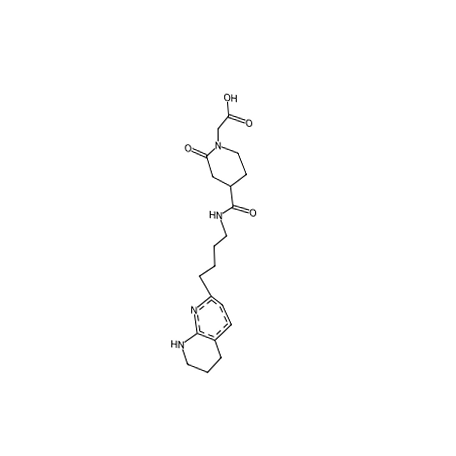 O=C(O)CN1CCC(C(=O)NCCCCc2ccc3c(n2)NCCC3)CC1=O